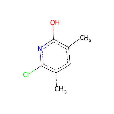 Cc1cc(C)c(Cl)nc1O